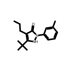 CCCc1c(C(C)(C)C)[nH]n(-c2cccc(C)c2)c1=O